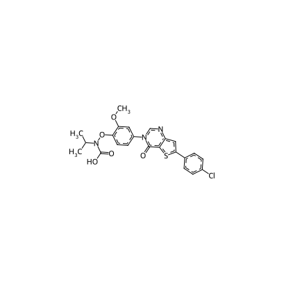 COc1cc(-n2cnc3cc(-c4ccc(Cl)cc4)sc3c2=O)ccc1ON(C(=O)O)C(C)C